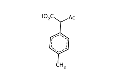 CC(=O)C(C(=O)O)c1ccc(C)cc1